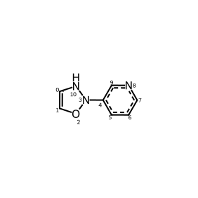 [C]1=CON(c2cccnc2)N1